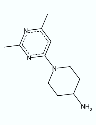 Cc1cc(N2CCC(N)CC2)nc(C)n1